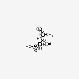 Cc1cc(NC(=O)c2ccc(NS(=O)(=O)CCO)cc2N2CCC3(CC2)CC3)nc(N2CCCOC2)n1